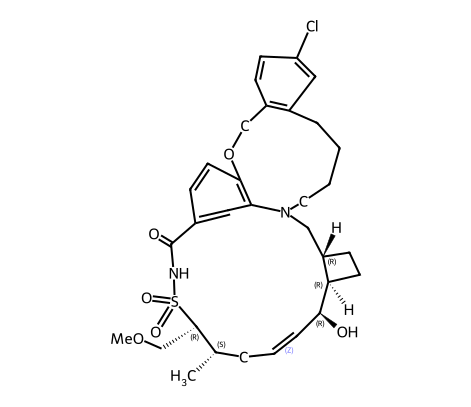 COC[C@H]1[C@@H](C)C/C=C\[C@H](O)[C@@H]2CC[C@H]2CN2CCCCc3cc(Cl)ccc3COc3ccc(cc32)C(=O)NS1(=O)=O